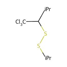 CC(C)SSC(C(C)C)C(Cl)(Cl)Cl